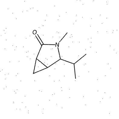 CC(C)C1C2CC2C(=O)N1C